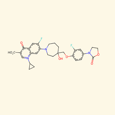 O=C(O)c1cn(C2CC2)c2cc(N3CCCC(O)(COc4ccc(N5CCOC5=O)cc4F)CC3)c(F)cc2c1=O